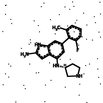 Cc1cccc(F)c1-c1cc(N[C@@H]2CCNC2)c2cc(N)[nH]c2c1